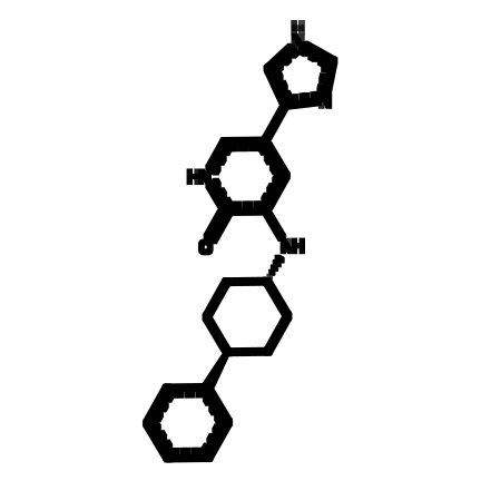 O=c1[nH]cc(-c2c[nH]cn2)cc1N[C@H]1CC[C@H](c2ccccc2)CC1